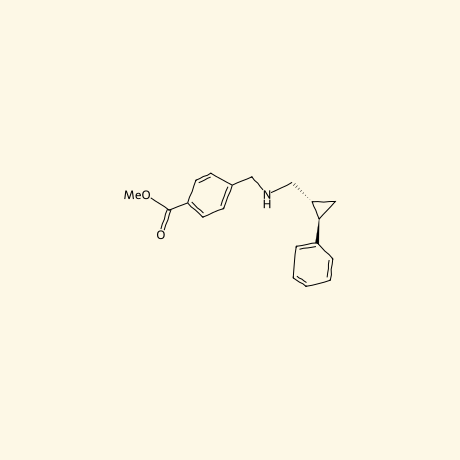 COC(=O)c1ccc(CNC[C@@H]2C[C@H]2c2ccccc2)cc1